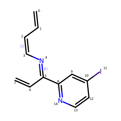 C=C/C=C\N=C(/C=C)c1cc(I)ccn1